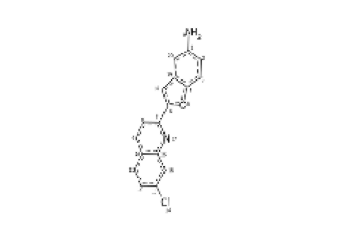 Nc1ccc2oc(-c3ccc4ccc(Cl)cc4n3)cc2c1